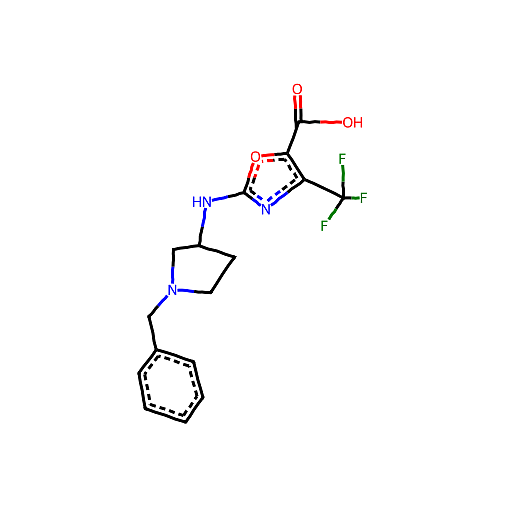 O=C(O)c1oc(NC2CCN(Cc3ccccc3)C2)nc1C(F)(F)F